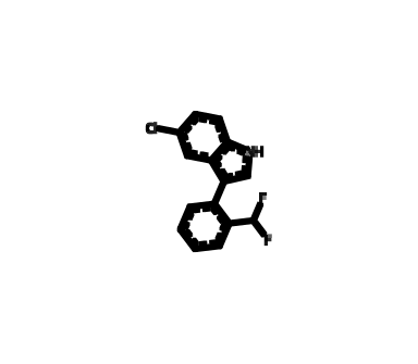 FC(F)c1ccccc1-c1c[nH]c2ccc(Cl)cc12